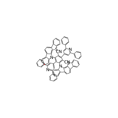 N#Cc1c(-c2cc(-c3ccccc3)nc(-c3ccccc3)c2)c(C#N)c(-n2c3ccccc3c3ccc4c5ccccc5sc4c32)c(-c2cc(-c3ccccc3)nc(-c3ccccc3)c2)c1-n1c2ccccc2c2ccc3c4ccccc4sc3c21